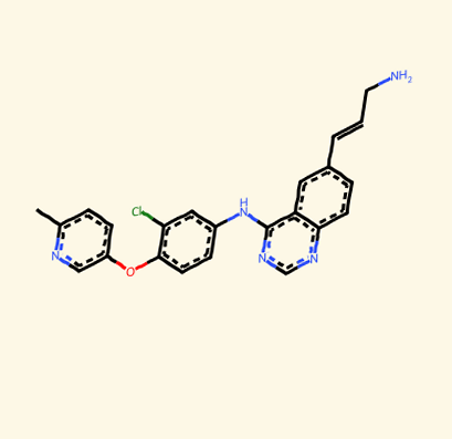 Cc1ccc(Oc2ccc(Nc3ncnc4ccc(C=CCN)cc34)cc2Cl)cn1